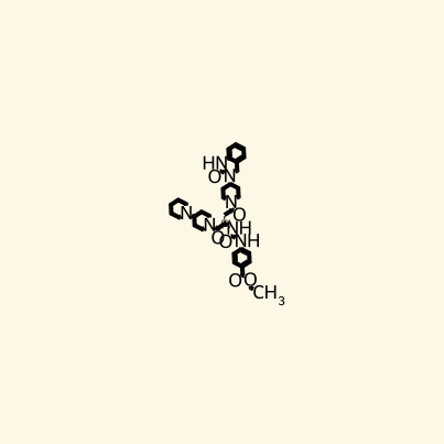 CCOC(=O)c1ccc(NC(=O)N[C@@H](CC(=O)N2CCC(N3Cc4ccccc4NC3=O)CC2)C(=O)N2CCC(N3CCCCC3)CC2)cc1